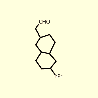 CCCC1CCC2CC(CC=O)CCC2C1